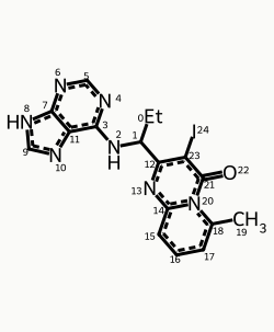 CCC(Nc1ncnc2[nH]cnc12)c1nc2cccc(C)n2c(=O)c1I